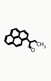 CCC([C]=O)c1ccc2ccc3cccc4ccc1c2c34